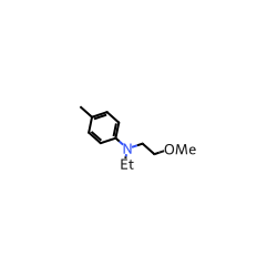 CCN(CCOC)c1ccc(C)cc1